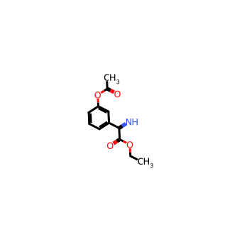 CCOC(=O)C(=N)c1cccc(OC(C)=O)c1